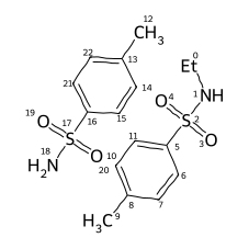 CCNS(=O)(=O)c1ccc(C)cc1.Cc1ccc(S(N)(=O)=O)cc1